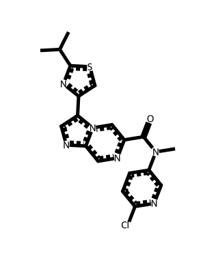 CC(C)c1nc(-c2cnc3cnc(C(=O)N(C)c4ccc(Cl)nc4)cn23)cs1